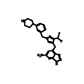 Nc1cc(Cc2cn(Cc3cccc(C4CCNCC4)c3)nc2C(F)F)c2nn[nH]c2n1